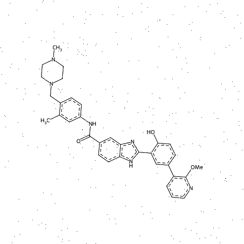 COc1ncccc1-c1ccc(O)c(-c2nc3cc(C(=O)Nc4ccc(CN5CCN(C)CC5)c(C)c4)ccc3[nH]2)c1